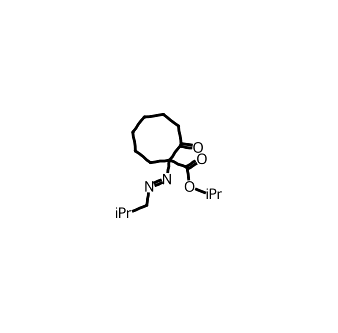 CC(C)CN=NC1(C(=O)OC(C)C)CCCCCCC1=O